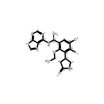 CCOc1c([C@H](C)Nc2ncnc3scnc23)cc(Cl)c(F)c1C1CNC(=O)C1